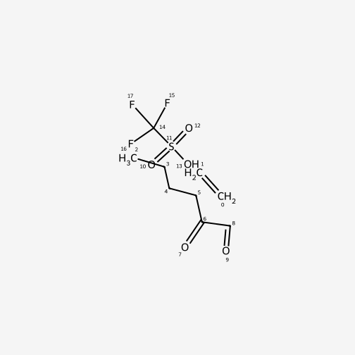 C=C.CCCCC(=O)C=O.O=S(=O)(O)C(F)(F)F